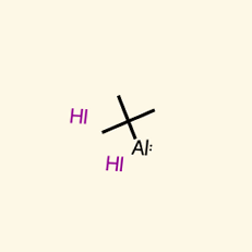 C[C](C)(C)[Al].I.I